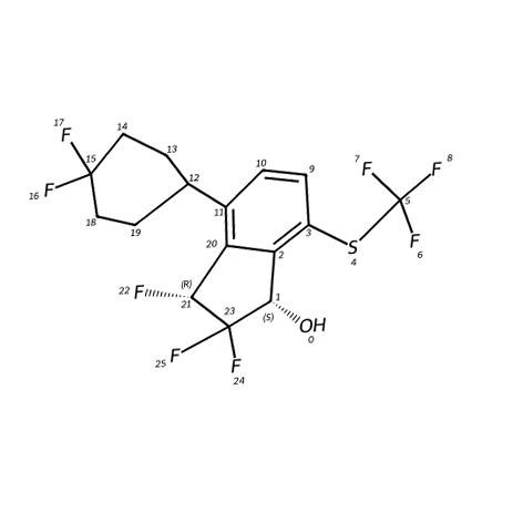 O[C@H]1c2c(SC(F)(F)F)ccc(C3CCC(F)(F)CC3)c2[C@@H](F)C1(F)F